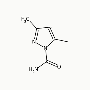 Cc1[c]c(C(F)(F)F)nn1C(N)=O